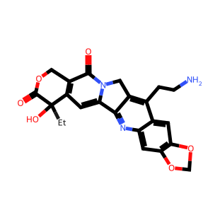 CCC1(O)C(=O)OCc2c1cc1n(c2=O)Cc2c-1nc1cc3c(cc1c2CCN)OCO3